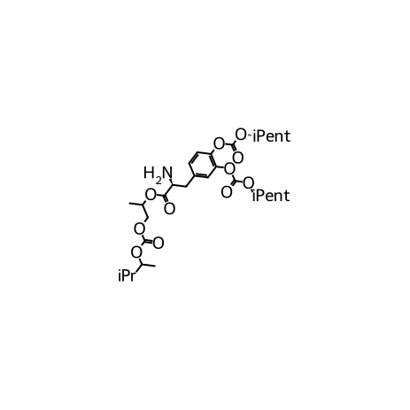 CCCC(C)OC(=O)Oc1cc(C[C@H](N)C(=O)OC(C)COC(=O)OC(C)C(C)C)ccc1OC(=O)O[C@@H](C)CCC